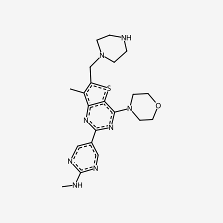 CNc1ncc(-c2nc(N3CCOCC3)c3sc(CN4CCNCC4)c(C)c3n2)cn1